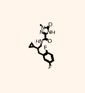 Cn1nc(C(=O)NCC(Cc2cc(F)ccc2F)C2CC2)[nH]c1=O